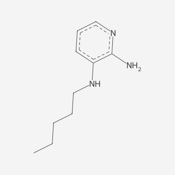 CCCCCNc1cccnc1N